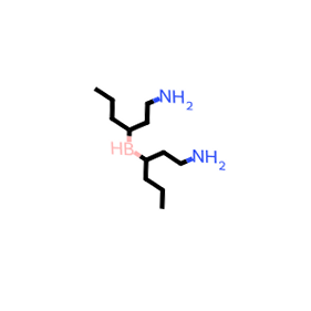 CCCC(BC(CCC)CCN)CCN